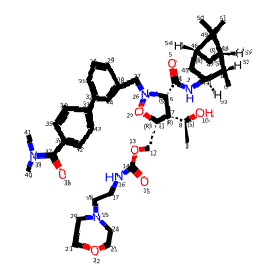 C[C@@H]1[C@@H](NC(=O)[C@@H]2[C@H]([C@H](C)O)[C@H](COC(=O)NCCN3CCOCC3)ON2Cc2cccc(-c3ccc(C(=O)N(C)C)cc3)c2)C[C@H]2C[C@@H]1C2(C)C